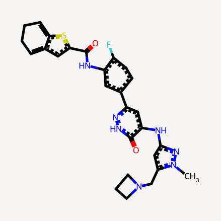 Cn1nc(Nc2cc(-c3ccc(F)c(NC(=O)c4cc5c(s4)=CCCC=5)c3)n[nH]c2=O)cc1CN1CCC1